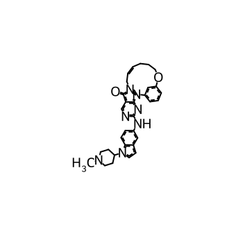 CN1CCC(n2ccc3cc(Nc4ncc5c(=O)n6n(c5n4)-c4cccc(c4)OCCC/C=C\C6)ccc32)CC1